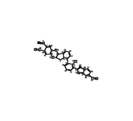 COc1nc(OC2CCc3c(-c4cccc(-c5nc6cc(C=O)ccn6n5)c4Cl)cccc32)c(Cl)cc1C=O